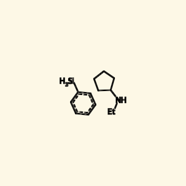 CCNC1CCCC1.[SiH3]c1ccccc1